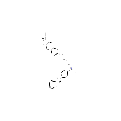 C/C(=N/OCCOc1ccc(CC2SC(=O)NC2=O)cc1)c1ccc(S(=O)(=O)c2ccccn2)cc1